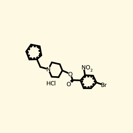 Cl.O=C(OC1CCN(Cc2ccccc2)CC1)c1ccc(Br)cc1[N+](=O)[O-]